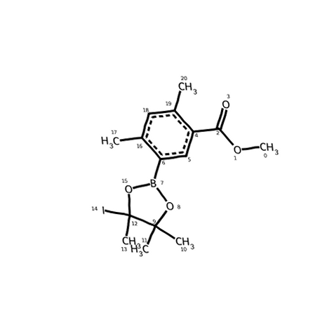 COC(=O)c1cc(B2OC(C)(C)C(C)(I)O2)c(C)cc1C